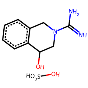 N=C(N)N1Cc2ccccc2C(O)C1.O=S(=O)(O)O